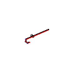 CC/C=C\C/C=C\C/C=C\CCCCCCCC(=O)OCCCCCCCCCCCCCCCCCCCCCC